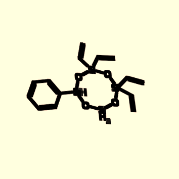 C=C[Si]1(C=C)O[SiH2]O[SiH](c2ccccc2)O[Si](C=C)(C=C)O1